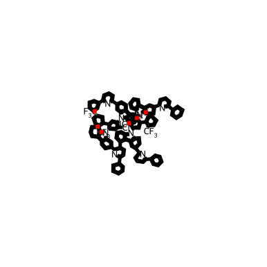 N#Cc1cc(-n2c3ccccc3c3ccc(-c4nc(-c5ccccc5)ccc4-c4cccc5c4c4cc(-c6cccc(-c7ccccc7)n6)ccc4n5-c4cc(-c5c(C(F)(F)F)cccc5C(F)(F)F)c(-n5c6ccccc6c6cc(-c7cccc(-c8ccccc8)n7)ccc65)cc4C#N)cc32)c(-c2cc(C(F)(F)F)ccc2C(F)(F)F)cc1-n1c2ccccc2c2ccc(-c3cccc(-c4ccccc4)n3)cc21